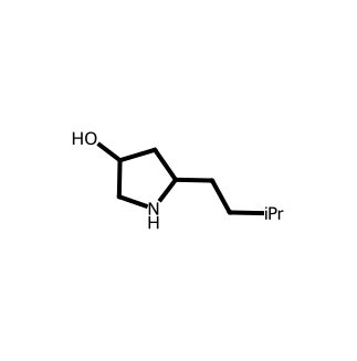 CC(C)CCC1CC(O)CN1